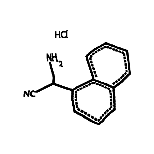 Cl.N#CC(N)c1cccc2ccccc12